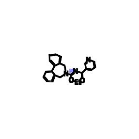 CCO/C(=N\C(=O)c1cccnc1)N1Cc2ccccc2-c2ccccc2C1